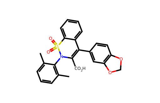 Cc1cccc(C)c1N1C(C(=O)O)=C(c2ccc3c(c2)OCO3)c2ccccc2S1(=O)=O